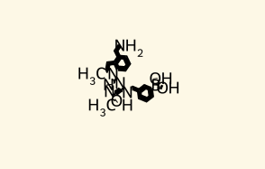 COc1nnc(N2c3cccc(CN)c3CC2C)nc1NCc1cccc(B(O)O)c1